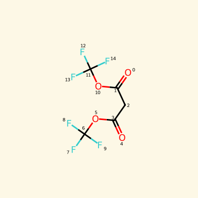 O=C(CC(=O)OC(F)(F)F)OC(F)(F)F